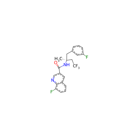 C[C@](Cc1cccc(F)c1)(CC(F)(F)F)NC(=O)c1cnc2c(F)cccc2c1